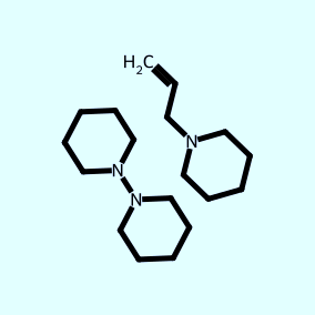 C1CCN(N2CCCCC2)CC1.C=CCN1CCCCC1